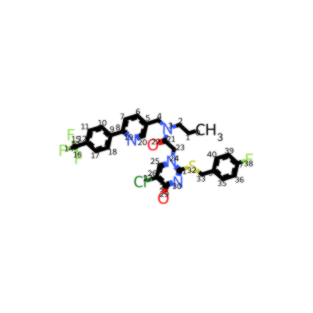 CCCN(Cc1ccc(-c2ccc(C(F)(F)F)cc2)nc1)C(=O)Cn1cc(Cl)c(=O)nc1SCc1ccc(F)cc1